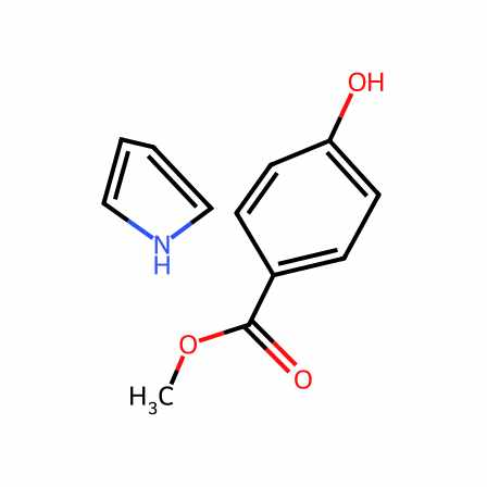 COC(=O)c1ccc(O)cc1.c1cc[nH]c1